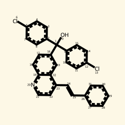 OC(c1ccc(Cl)cc1)(c1ccc(Cl)cc1)c1ccc2nccc(/C=C/c3ccccc3)c2c1